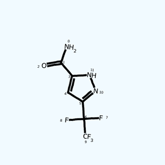 NC(=O)c1cc(C(F)(F)C(F)(F)F)n[nH]1